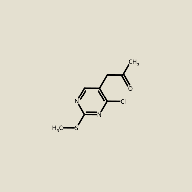 CSc1ncc(CC(C)=O)c(Cl)n1